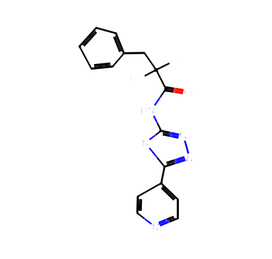 CC(C)(Cc1ccccc1)C(=O)Nc1nnc(-c2ccncc2)[nH]1